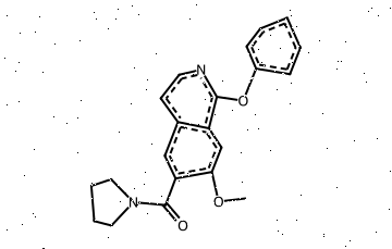 COc1cc2c(Oc3ccccc3)nccc2cc1C(=O)N1CCCC1